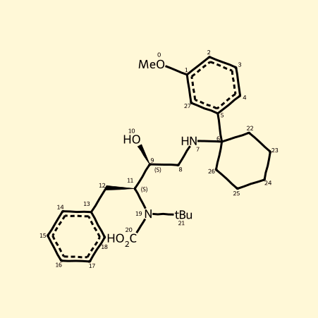 COc1cccc(C2(NC[C@H](O)[C@H](Cc3ccccc3)N(C(=O)O)C(C)(C)C)CCCCC2)c1